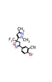 Cc1cc(C2(C(F)(F)F)CC(c3ccc(Br)c(C#N)c3)=NO2)n(C)n1